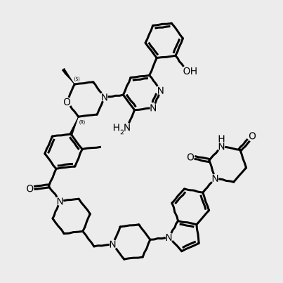 Cc1cc(C(=O)N2CCC(CN3CCC(n4ccc5cc(N6CCC(=O)NC6=O)ccc54)CC3)CC2)ccc1[C@@H]1CN(c2cc(-c3ccccc3O)nnc2N)C[C@H](C)O1